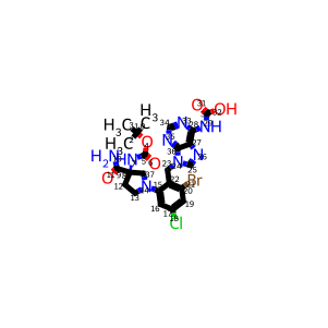 CC(C)(C)OC(=O)N[C@]1(C(N)=O)CCN(c2cc(Cl)cc(Br)c2Cn2cnc3c(NC(=O)O)ncnc32)C1